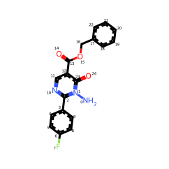 Nn1c(-c2ccc(F)cc2)ncc(C(=O)OCc2ccccc2)c1=O